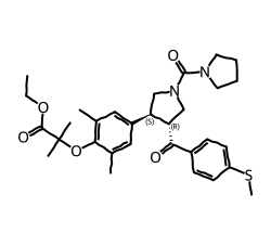 CCOC(=O)C(C)(C)Oc1c(C)cc([C@H]2CN(C(=O)N3CCCC3)C[C@@H]2C(=O)c2ccc(SC)cc2)cc1C